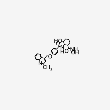 Cc1cc(COc2ccc(C(=O)N[C@H]3[C@@H](O)CCC[C@H]3C(=O)NO)cc2)c2ccccc2n1